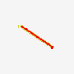 CCOS(=S)(=S)SSSSSSSSSSSSSSSSSSSSSSSSSSSSSSSSSSSSSSSSSSSSSSSSSSSSSSSSSSSSSSSSSSSSSSSSSSSSSSSSSSSSSSSSSSSSSSSS